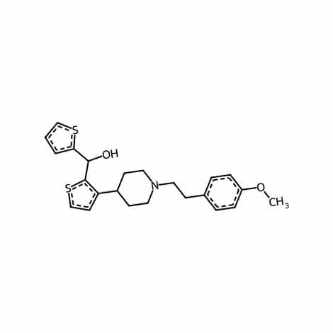 COc1ccc(CCN2CCC(c3ccsc3C(O)c3cccs3)CC2)cc1